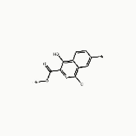 CCCCOC(=O)c1nc(Cl)c2cc(Br)ccc2c1O